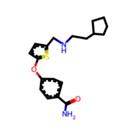 NC(=O)c1ccc(Oc2ccc(CNCCC3CCCC3)s2)cc1